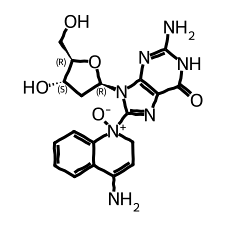 NC1=CC[N+]([O-])(c2nc3c(=O)[nH]c(N)nc3n2[C@H]2C[C@H](O)[C@@H](CO)O2)c2ccccc21